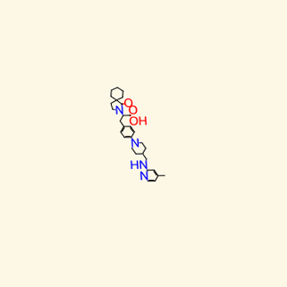 Cc1ccnc(NCC2CCN(c3ccc(CC(C(=O)O)N4CCC5(CCCCC5)C4=O)cc3)CC2)c1